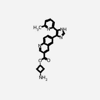 Cc1cccc(-c2[nH]cnc2-c2ccc3ncc(C(=O)O[C@H]4C[C@H](N)C4)cc3c2)n1